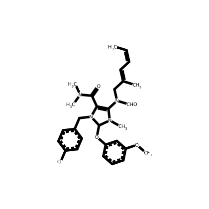 C/C=C\C=C(/C)CN(C=O)C1=C(C(=O)N(C)C)N(Cc2ccc(Cl)cc2)C(Oc2cccc(OC(F)(F)F)c2)N1C